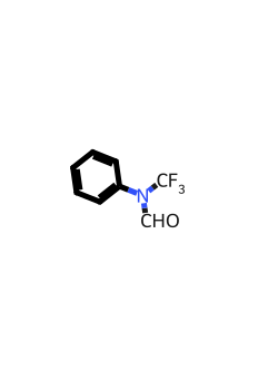 O=CN(c1ccccc1)C(F)(F)F